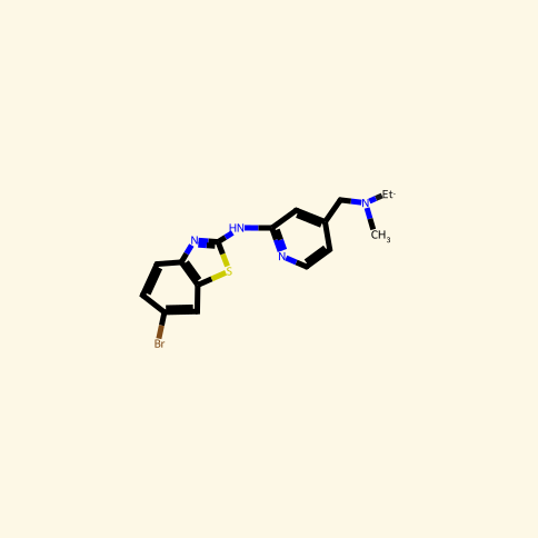 [CH2][CH]N(C)Cc1ccnc(Nc2nc3ccc(Br)cc3s2)c1